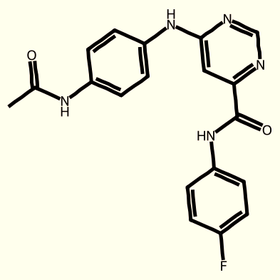 CC(=O)Nc1ccc(Nc2cc(C(=O)Nc3ccc(F)cc3)ncn2)cc1